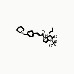 CCC[C@H]1C(=O)N(S(C)(=O)=O)C2=CCN(C(=O)C=Cc3ccc(CN4CCCCC4)cc3)[C@@H]21